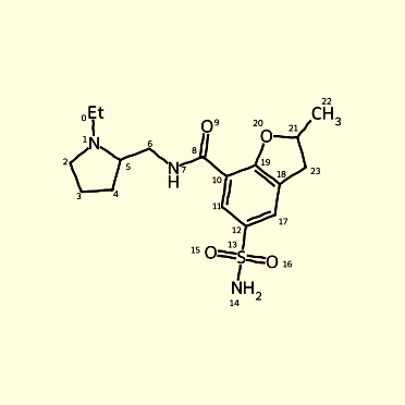 CCN1CCCC1CNC(=O)c1cc(S(N)(=O)=O)cc2c1OC(C)C2